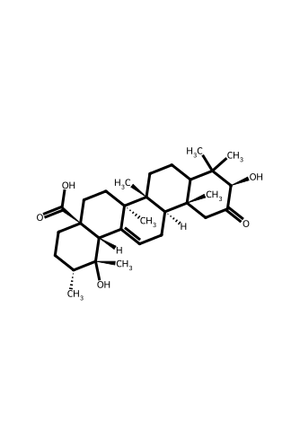 C[C@@H]1CC[C@]2(C(=O)O)CC[C@]3(C)C(=CC[C@@H]4[C@@]5(C)CC(=O)[C@H](O)C(C)(C)C5CC[C@]43C)[C@@H]2[C@]1(C)O